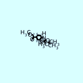 COCC(=O)c1ccc(NC(=O)OC(C)(C)C)c(F)c1